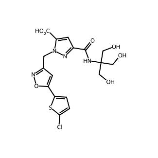 O=C(NC(CO)(CO)CO)c1cc(C(=O)O)n(Cc2cc(-c3ccc(Cl)s3)on2)n1